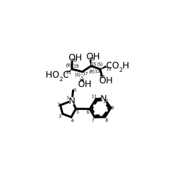 CN1CCCC1c1cccnc1.O=C(O)[C@@H](O)[C@H](O)[C@H](O)[C@@H](O)C(=O)O